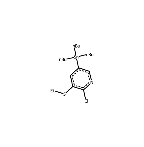 CCC[CH2][Sn]([CH2]CCC)([CH2]CCC)[c]1cnc(Cl)c(SCC)c1